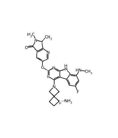 CNc1cc(F)cc2c1[nH]c1nc(Oc3cnc4c(c3)C(=O)N(C)C4C)nc(N3CC4(CC[C@H]4N)C3)c12